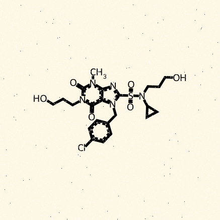 Cn1c(=O)n(CCCO)c(=O)c2c1nc(S(=O)(=O)N(CCCO)C1CC1)n2Cc1ccc(Cl)cc1